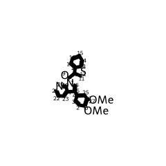 COc1ccc(-c2cn(C(=O)C3CSc4ccccc43)c3ncccc23)cc1OC